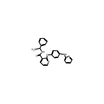 NC(NC(=O)c1cccnc1Oc1ccc(Nc2ccccn2)cc1)c1ccccc1